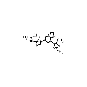 Cc1nc(C)c(-c2cc(-c3cnc(NC(C)C)s3)cn3ccnc23)s1